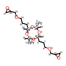 CCC[Si]1(C)O[Si](C)(CCCOCC2CO2)O[Si](C)(CCC)O[Si](C)(CCCOCC2CO2)O1